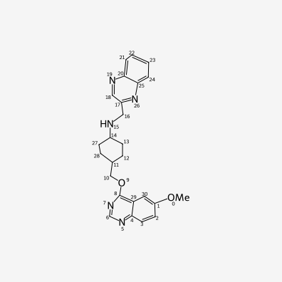 COc1ccc2ncnc(OCC3CCC(NCc4cnc5ccccc5n4)CC3)c2c1